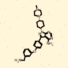 CN1CCN([C@H]2CC[C@@H](n3nc(-c4ccc(Oc5cccc(CN)c5)cc4)c4c(N)ncnc43)CC2)CC1